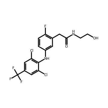 O=C(Cc1cc(Nc2c(Cl)cc(C(F)(F)F)cc2Cl)ccc1F)NCCO